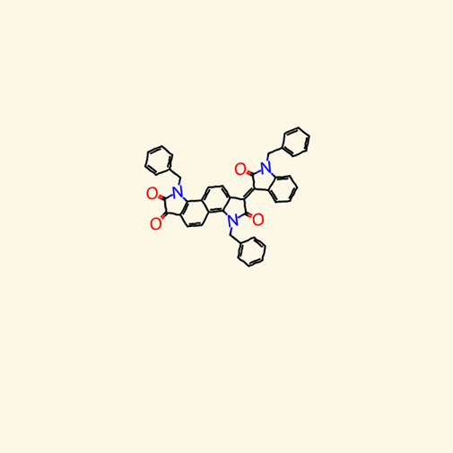 O=C1C(=O)N(Cc2ccccc2)c2c1ccc1c3c(ccc21)/C(=C1\C(=O)N(Cc2ccccc2)c2ccccc21)C(=O)N3Cc1ccccc1